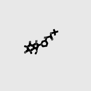 CSc1c(N2CCCC(NC(=O)OC(C)(C)C)C2)[nH]c2c(=O)n(C)c(=O)n(C)c12